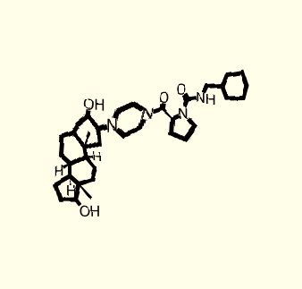 C[C@]12CC(N3CCN(C(=O)[C@@H]4CCCN4C(=O)NCC4CCCCC4)CC3)C(O)CC1CC[C@@H]1[C@H]2CC[C@]2(C)C(O)CC[C@@H]12